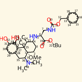 CO[C@@]12CCC(N[C@@H](CNC(=O)OCc3ccccc3)C(=O)OC(C)(C)C)[C@H](C)C1(C)c1c(ccc(O)c1O)CC2N(C)C